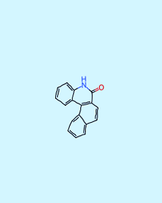 O=c1[nH]c2ccccc2c2c1ccc1ccccc12